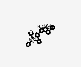 CC1(C)c2ccc(-c3cccc(-c4ccccc4-c4nc(C5=CCCC=C5)nc(-c5ccccc5)n4)c3)cc2-c2cccc(-c3ccccc3)c2C1(C)C